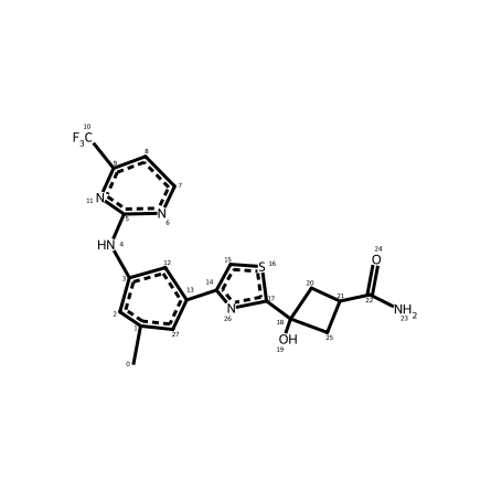 Cc1cc(Nc2nccc(C(F)(F)F)n2)cc(-c2csc(C3(O)CC(C(N)=O)C3)n2)c1